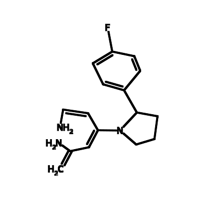 C=C(N)/C=C(\C=C/N)N1CCCC1c1ccc(F)cc1